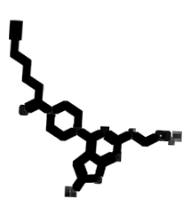 C#CCCCCC(=O)N1CCN(c2nc(SCC(=O)O)nc3sc(CC)cc23)CC1